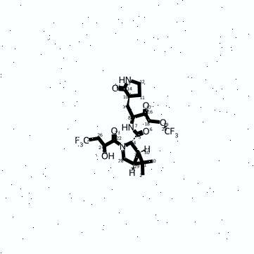 CC1(C)[C@@H]2[C@@H](C(=O)NC(C[C@@H]3CCNC3=O)C(=O)COC(F)(F)F)N(C(=O)C(O)CC(F)(F)F)C[C@@H]21